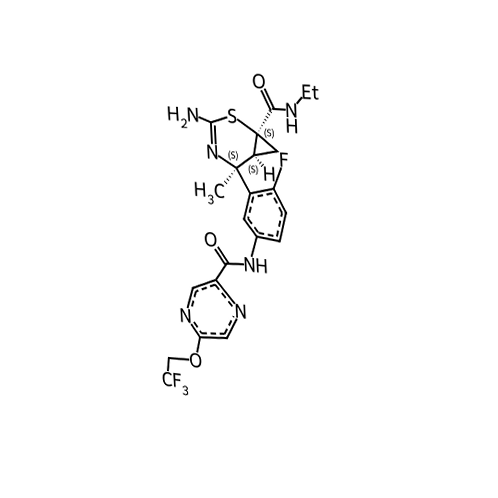 CCNC(=O)[C@]12C[C@H]1[C@@](C)(c1cc(NC(=O)c3cnc(OCC(F)(F)F)cn3)ccc1F)N=C(N)S2